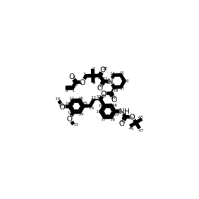 C=CC(=O)OCC(C)(C)C(=O)C(=O)N1CCCC[C@H]1C(=O)O[C@H](CCc1ccc(OC)c(OC)c1)c1cccc(NC(=O)OC(C)(C)C)c1